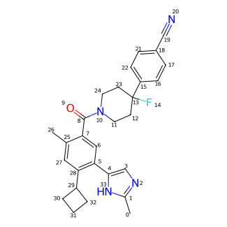 Cc1ncc(-c2cc(C(=O)N3CCC(F)(c4ccc(C#N)cc4)CC3)c(C)cc2C2CCC2)[nH]1